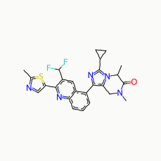 Cc1ncc(-c2nc3cccc(-c4nc(C5CC5)n5c4CN(C)C(=O)C5C)c3cc2C(F)F)s1